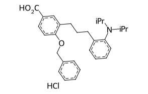 CC(C)N(c1ccccc1CCCc1cc(C(=O)O)ccc1OCc1ccccc1)C(C)C.Cl